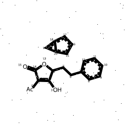 CC(=O)C1=C(O)C(CCc2ccccc2)OC1=O.c1cc2cc-2c1